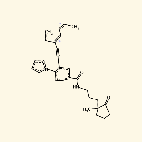 C=C/C(C#Cc1cc(C(=O)NCCCC2(C)CCCC2=O)ccc1-n1cccn1)=C\C=C/C